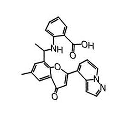 Cc1cc(C(C)Nc2ccccc2C(=O)O)c2oc(-c3cccn4nccc34)cc(=O)c2c1